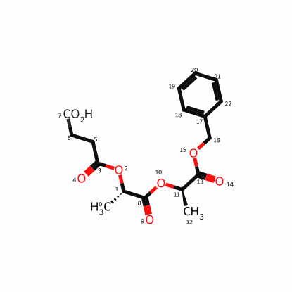 C[C@H](OC(=O)CCC(=O)O)C(=O)O[C@H](C)C(=O)OCc1ccccc1